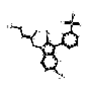 CCS(=O)(=O)c1cccc(-c2c(C(C)C)n(C/C(F)=C/CN)c3ccc(C)nc23)c1